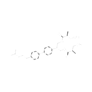 C=C(CO)C(=O)OCC(COC(=O)C(=C)CO)c1ccc(-c2ccc(CCCC(C)C)cc2)cc1